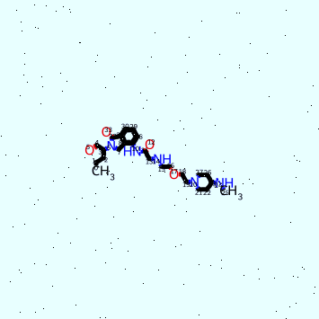 CCCC(C=O)N1Cc2c(NC(=O)CNCCOCCN3CCC(NC)CC3)cccc2C1=O